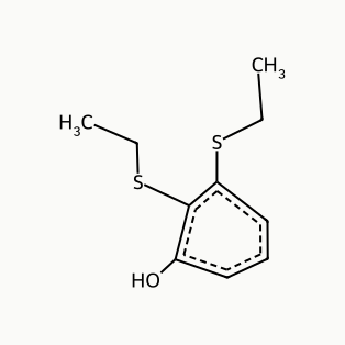 CCSc1cccc(O)c1SCC